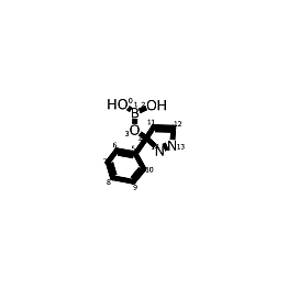 OB(O)OC1(c2ccccc2)C=CN=N1